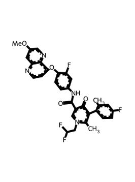 COc1cnc2c(Oc3ccc(NC(=O)c4cn(CC(F)F)c(C)c(-c5ccc(F)cc5C)c4=O)cc3F)ccnc2c1